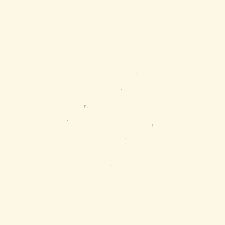 CNC(=O)C1(NC(=O)C(=O)c2c(C)c(C(=O)Nc3ccc(F)c(Cl)c3)n3c2C[C@@H]2C(CC(C)(C)NC(=O)C(=O)c4c(Cl)c(C(=O)Nc5ccc(F)c(C#N)c5)n5c4CCC5)[C@@H]23)CC(F)(F)C1